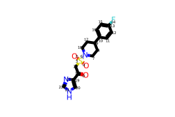 O=C(CS(=O)(=O)N1CCC(c2ccc(F)cc2)CC1)c1c[nH]cn1